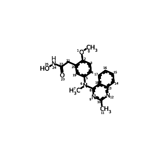 COc1ccc(N(C)c2nc(C)nc3ccccc23)cc1CC(=O)NO